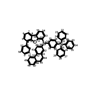 c1ccc(-c2cccc3c2oc2c(N(c4ccc([Si](c5ccccc5)(c5ccccc5)c5ccccc5)cc4)c4ccc5c(ccc6ccccc65)c4)cccc23)cc1